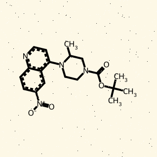 CC1CN(C(=O)OC(C)(C)C)CCN1c1ccnc2ccc([N+](=O)[O-])cc12